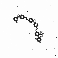 Cc1cccc(Oc2ccc(CCc3ccc(Oc4ccc(CCc5ccc(-c6ccc(C)cc6C)c(C(F)(F)F)c5)cc4)cc3)cc2)c1